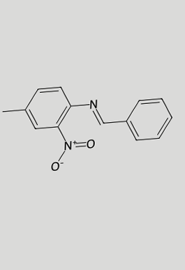 Cc1ccc(N=Cc2ccccc2)c([N+](=O)[O-])c1